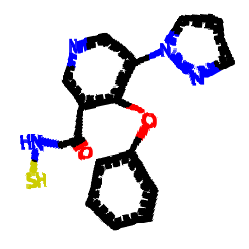 O=C(NS)c1cncc(-n2cccn2)c1Oc1ccccc1